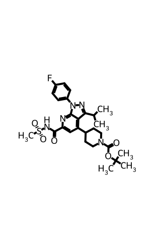 CC(C)c1nn(-c2ccc(F)cc2)c2nc(C(=O)NS(C)(=O)=O)cc(C3CCN(C(=O)OC(C)(C)C)CC3)c12